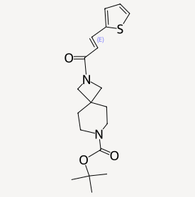 CC(C)(C)OC(=O)N1CCC2(CC1)CN(C(=O)/C=C/c1cccs1)C2